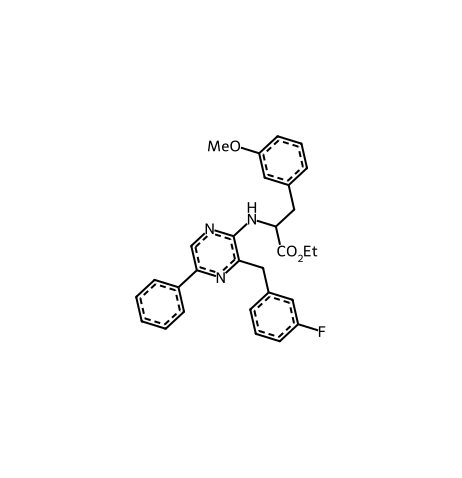 CCOC(=O)C(Cc1cccc(OC)c1)Nc1ncc(-c2ccccc2)nc1Cc1cccc(F)c1